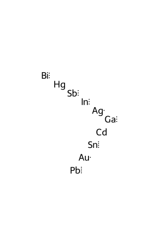 [Ag].[Au].[Bi].[Cd].[Ga].[Hg].[In].[Pb].[Sb].[Sn]